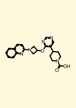 O=C(O)N1CCC(c2cncnc2OC2CN(c3ccc4ccccc4n3)C2)CC1